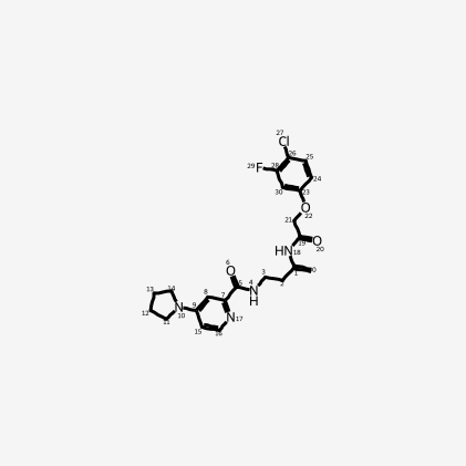 C=C(CCNC(=O)c1cc(N2CCCC2)ccn1)NC(=O)COc1ccc(Cl)c(F)c1